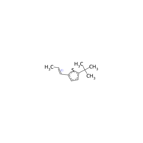 C/C=C/c1ccc(C(C)(C)C)s1